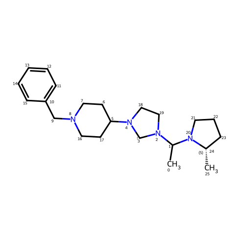 CC(N1[C]N(C2CCN(Cc3ccccc3)CC2)CC1)N1CCC[C@@H]1C